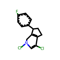 Fc1ccc(C2CCC3=C2CN(Cl)C=C3Cl)cc1